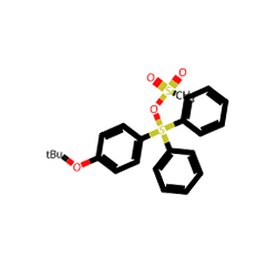 CC(C)(C)Oc1ccc(S(OS(C)(=O)=O)(c2ccccc2)c2ccccc2)cc1